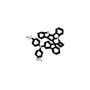 Cc1ccc(N(c2ccc(C)cc2)c2ccc3c(c2)-c2ccccc2C32c3ccccc3-n3c4ccccc4c4c5oc6ccccc6c5cc2c43)cc1